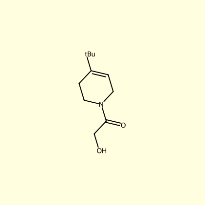 CC(C)(C)C1=CCN(C(=O)CO)CC1